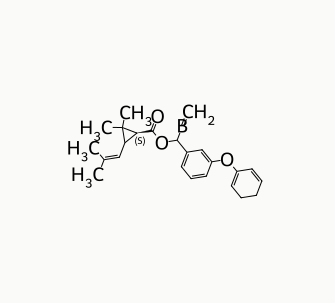 C=BC(OC(=O)[C@H]1C(C=C(C)C)C1(C)C)c1cccc(OC2=CCCC=C2)c1